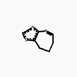 C1=Nc2ncsc2CCC1